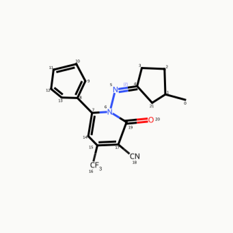 CC1CC/C(=N/n2c(-c3ccccc3)cc(C(F)(F)F)c(C#N)c2=O)C1